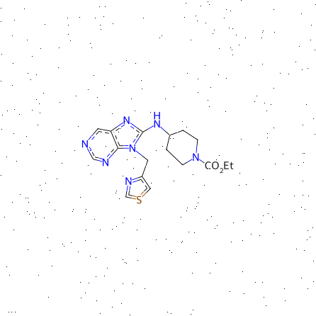 CCOC(=O)N1CCC(Nc2nc3cncnc3n2Cc2cscn2)CC1